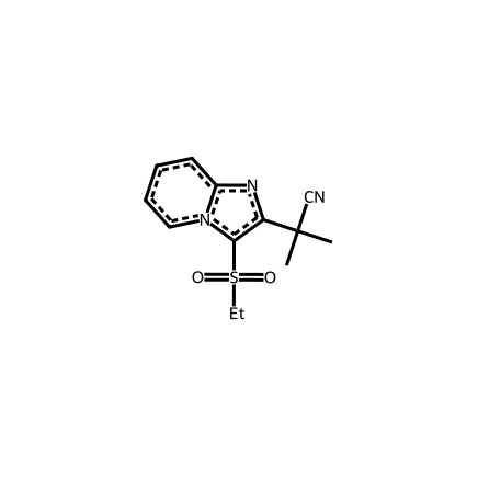 CCS(=O)(=O)c1c(C(C)(C)C#N)nc2ccccn12